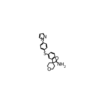 NC(=O)C1(c2cccc(Sc3ccc(-n4cccn4)cc3)c2)CCOCC1